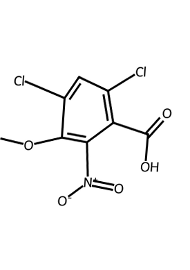 COc1c(Cl)cc(Cl)c(C(=O)O)c1[N+](=O)[O-]